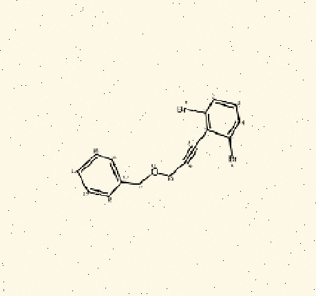 Brc1cccc(Br)c1C#CCOCc1ccccc1